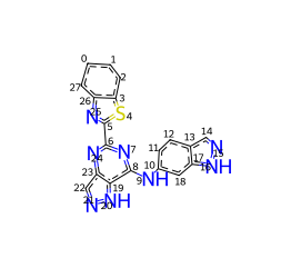 c1ccc2sc(-c3nc(Nc4ccc5cn[nH]c5c4)c4[nH]ncc4n3)nc2c1